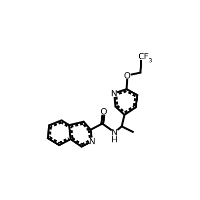 CC(NC(=O)c1cc2ccccc2cn1)c1ccc(OCC(F)(F)F)nc1